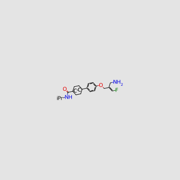 CC(C)NC(=O)C12CCC(c3ccc(OC/C(=C/F)CN)cc3)(CC1)CC2